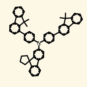 CC1(C)c2ccccc2-c2ccc(-c3ccc(N(c4ccc(-c5cccc6c5C(C)(C)c5ccccc5-6)cc4)c4ccc5c(c4)C4(CCCC4)c4ccccc4-5)cc3)cc21